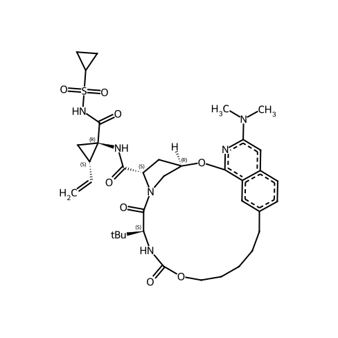 C=C[C@@H]1C[C@]1(NC(=O)[C@@H]1C[C@@H]2CN1C(=O)[C@H](C(C)(C)C)NC(=O)OCCCCCc1ccc3cc(N(C)C)nc(c3c1)O2)C(=O)NS(=O)(=O)C1CC1